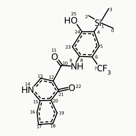 C[Si](C)(C)c1cc(C(F)(F)F)c(NC(=O)c2c[nH]c3ccccc3c2=O)cc1O